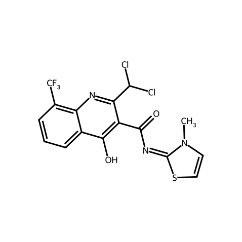 Cn1ccs/c1=N/C(=O)c1c(C(Cl)Cl)nc2c(C(F)(F)F)cccc2c1O